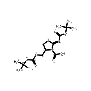 CC(C)(C)OC(=O)N=C1SCC(COC(=O)OC(C)(C)C)N1C(=O)O